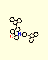 c1ccc2c(c1)cc(-c1ccc(N(c3ccc(-c4cc5ccccc5c5ccccc45)cc3)c3cccc4oc5ccccc5c34)cc1)c1ccccc12